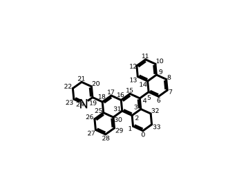 C1=Cc2c(c(-c3cccc4ccccc34)cc3cc(C4=CCCC=N4)c4ccccc4c23)CC1